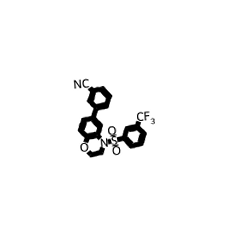 N#Cc1cccc(-c2ccc3c(c2)N(S(=O)(=O)c2cccc(C(F)(F)F)c2)CCO3)c1